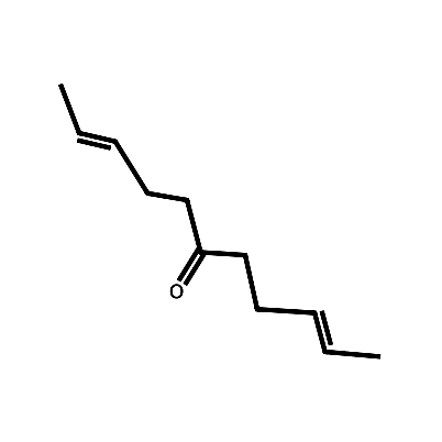 CC=CCCC(=O)CCC=CC